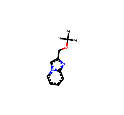 [2H]C([2H])([2H])OCc1cn2ccccc2n1